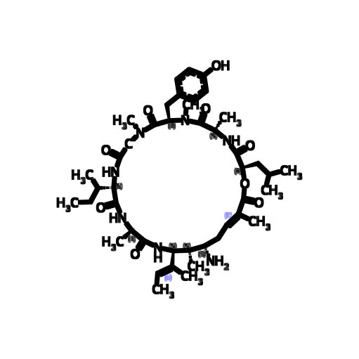 C/C=C(\C)[C@H]1NC(=O)[C@@H](C)NC(=O)[C@H](C(C)CC)NC(=O)CN(C)C(=O)[C@@H](Cc2ccc(O)cc2)N(C)C(=O)[C@H](C)NC(=O)[C@@H](CC(C)C)OC(=O)/C(C)=C/C[C@H](N)[C@@H]1C